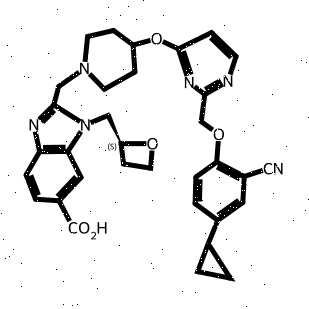 N#Cc1cc(C2CC2)ccc1OCc1nccc(OC2CCN(Cc3nc4ccc(C(=O)O)cc4n3C[C@@H]3CCO3)CC2)n1